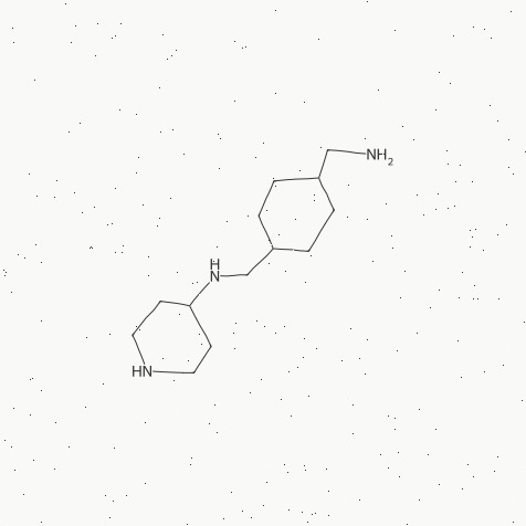 NCC1CCC(CNC2CCNCC2)CC1